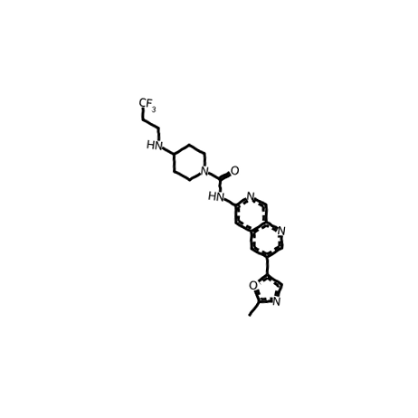 Cc1ncc(-c2cnc3cnc(NC(=O)N4CCC(NCCC(F)(F)F)CC4)cc3c2)o1